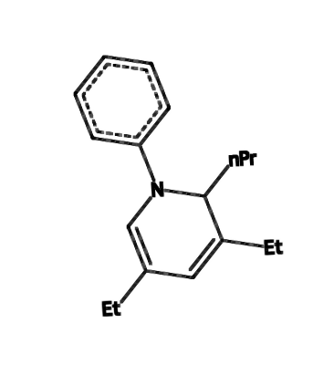 CCCC1C(CC)=CC(CC)=CN1c1ccccc1